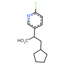 O=C(O)C(CC1CCCC1)c1ccc(F)nc1